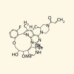 C=CC(=O)N1CCN(c2nc(=O)n3c4nc(c(C)cc24)-c2c(F)cccc2OCC(O)C(OC)C2=C3C(C)(C(C)C)NC=C2)[C@@H](C)C1